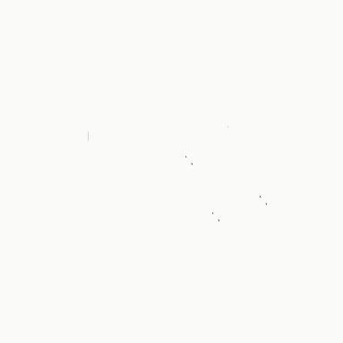 N#CC1(n2cc(CO)c3cccnc32)CCCC1